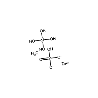 O.O=P([O-])([O-])O.O[Si](O)(O)O.[Zn+2]